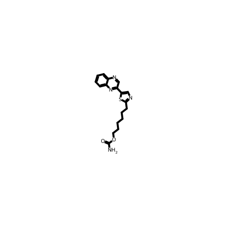 NC(=O)OCCCCCCc1ncc(-c2cnc3ccccc3n2)s1